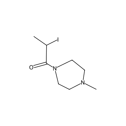 CC(I)C(=O)N1CCN(C)CC1